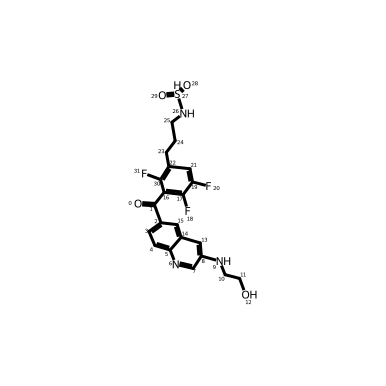 O=C(c1ccc2ncc(NCCO)cc2c1)c1c(F)c(F)cc(CCCN[SH](=O)=O)c1F